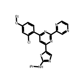 CCOc1ccc(-c2cc(-c3cnc(NC(C)C)s3)nc(-c3cnccn3)n2)c(Cl)c1